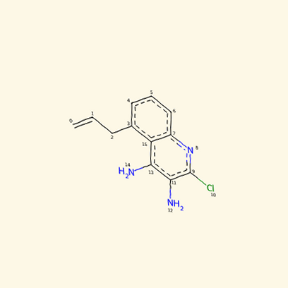 C=CCc1cccc2nc(Cl)c(N)c(N)c12